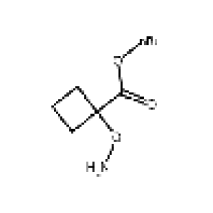 CCCCOC(=O)C1(ON)CCC1